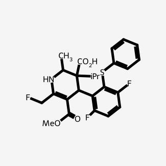 COC(=O)C1=C(CF)NC(C)C(C(=O)O)(C(C)C)C1c1c(F)ccc(F)c1Sc1ccccc1